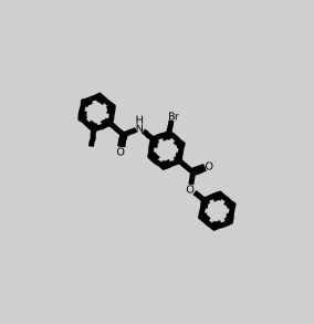 Cc1ccccc1C(=O)Nc1ccc(C(=O)Oc2ccccc2)cc1Br